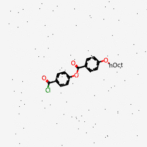 CCCCCCCCOc1ccc(C(=O)Oc2ccc(C(=O)Cl)cc2)cc1